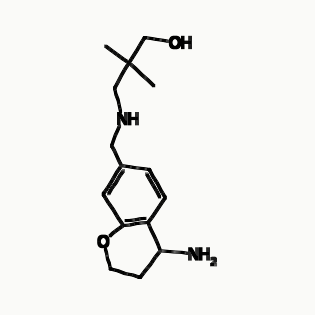 CC(C)(CO)CNCc1ccc2c(c1)OCCC2N